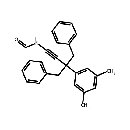 Cc1cc(C)cc(C(C#CNC=O)(Cc2ccccc2)Cc2ccccc2)c1